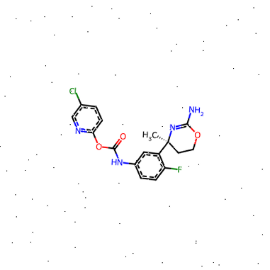 C[C@@]1(c2cc(NC(=O)Oc3ccc(Cl)cn3)ccc2F)CCOC(N)=N1